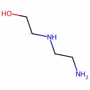 NCCN[CH]CO